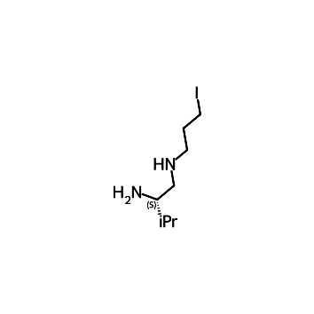 CC(C)[C@H](N)CNCCCI